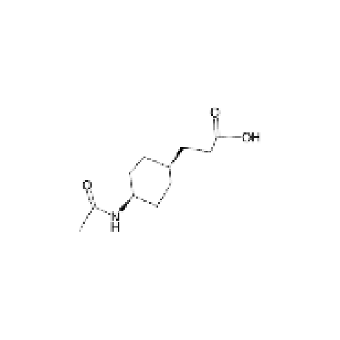 CC(=O)N[C@H]1CC[C@@H](CCC(=O)O)CC1